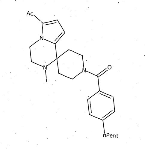 CCCCCc1ccc(C(=O)N2CCC3(CC2)c2ccc(C(C)=O)n2CCN3C)cc1